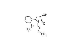 CCCCN1C(=O)C(O)CC1c1ccccc1OC